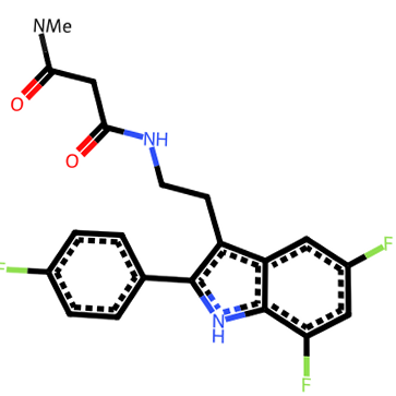 CNC(=O)CC(=O)NCCc1c(-c2ccc(F)cc2)[nH]c2c(F)cc(F)cc12